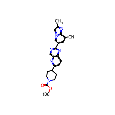 Cc1cn2cc(-c3ncc4nc(C5CCN(C(=O)OC(C)(C)C)CC5)ccc4n3)cc(C#N)c2n1